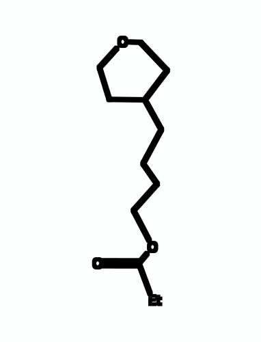 CCC(=O)OCCCCC1CCOCC1